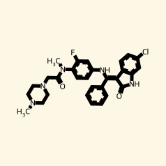 CN1CCN(CC(=O)N(C)c2ccc(NC(=C3C(=O)Nc4cc(Cl)ccc43)c3ccccc3)cc2F)CC1